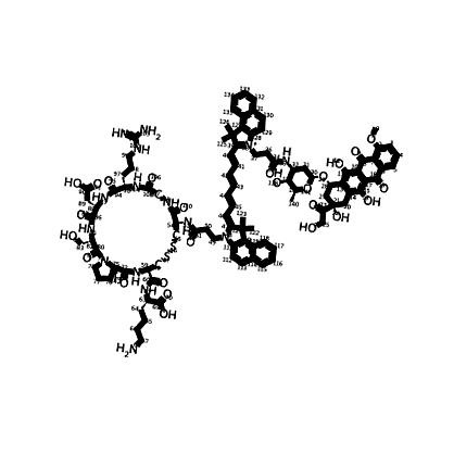 COc1cccc2c1C(=O)c1c(O)c3c(c(O)c1C2=O)C[C@@](O)(C(=O)CO)C[C@@H]3O[C@H]1C[C@H](NC(=O)CC[N+]2=C(/C=C/C=C/C=C/C=C3/N(CCC(=O)N[C@@H]4CSSC[C@@H](C(=O)N[C@@H](CCCCN)C(=O)O)NC(=O)[C@@H]5CCCN5C(=O)[C@H](CO)NC(=O)[C@H](CC(=O)O)NC(=O)[C@H](CCCNC(=N)N)NC(=O)CNC4=O)c4ccc5ccccc5c4C3(C)C)C(C)(C)c3c2ccc2ccccc32)[C@H](O)[C@H](C)O1